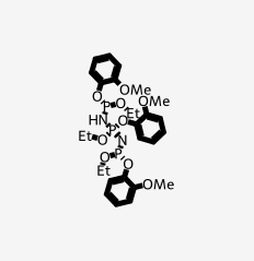 CCOP(N=P(NP(OCC)Oc1ccccc1OC)(OCC)Oc1ccccc1OC)Oc1ccccc1OC